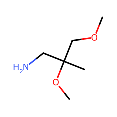 COCC(C)(CN)OC